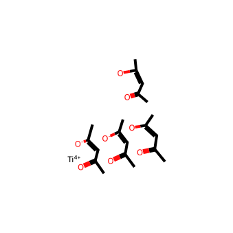 CC(=O)C=C(C)[O-].CC(=O)C=C(C)[O-].CC(=O)C=C(C)[O-].CC(=O)C=C(C)[O-].[Ti+4]